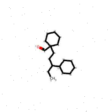 CCC(CCC1(C=O)CCCCC1)C1CCCCC1